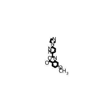 COc1ccc2c(=O)oc(-c3ccc(-n4ccnc4)nn3)nc2c1